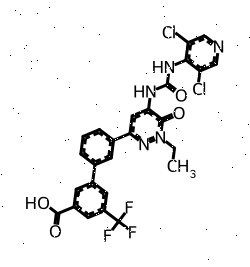 CCn1nc(-c2cccc(-c3cc(C(=O)O)cc(C(F)(F)F)c3)c2)cc(NC(=O)Nc2c(Cl)cncc2Cl)c1=O